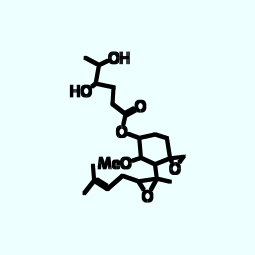 COC1C(OC(=O)CCC(O)C(C)O)CCC2(CO2)C1C1(C)OC1CC=C(C)C